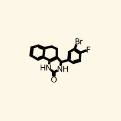 O=C1NC2=C(CCc3ccccc32)C(c2ccc(F)c(Br)c2)N1